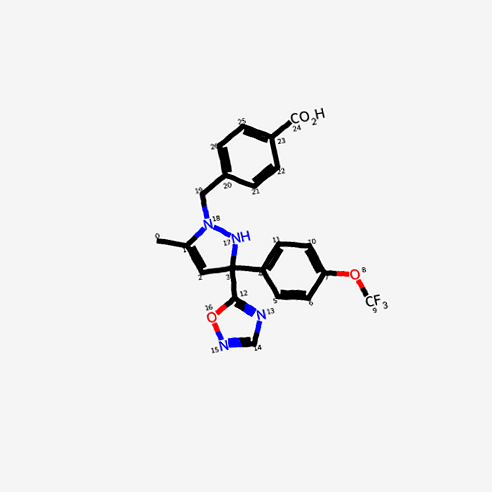 CC1=CC(c2ccc(OC(F)(F)F)cc2)(c2ncno2)NN1Cc1ccc(C(=O)O)cc1